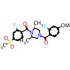 COc1ccc(C(=O)N2C[C@@H](C)N(C(=O)c3ccc(S(C)(=O)=O)cc3F)[C@H](C)C2)c(F)c1